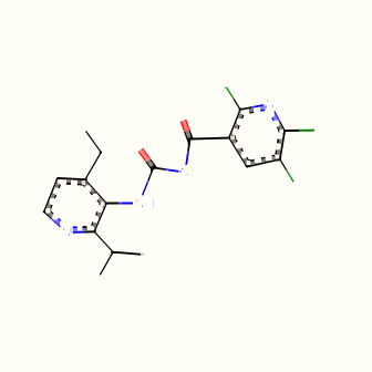 CCc1ccnc(C(C)C)c1NC(=O)NC(=O)c1cc(Cl)c(Cl)nc1Cl